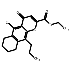 CCCc1c2c(c(Cl)c3c(=O)cc(C(=O)OCC)oc13)CCCC2